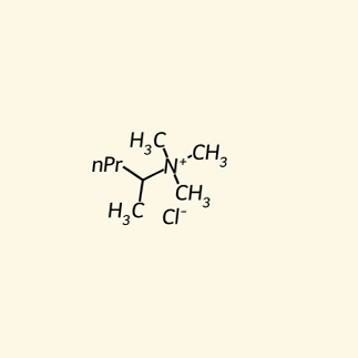 CCCC(C)[N+](C)(C)C.[Cl-]